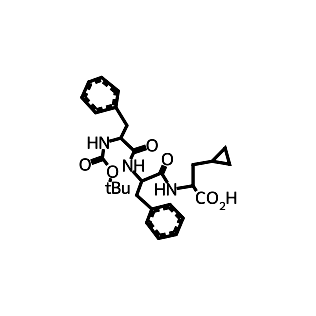 CC(C)(C)OC(=O)NC(Cc1ccccc1)C(=O)NC(Cc1ccccc1)C(=O)NC(CC1CC1)C(=O)O